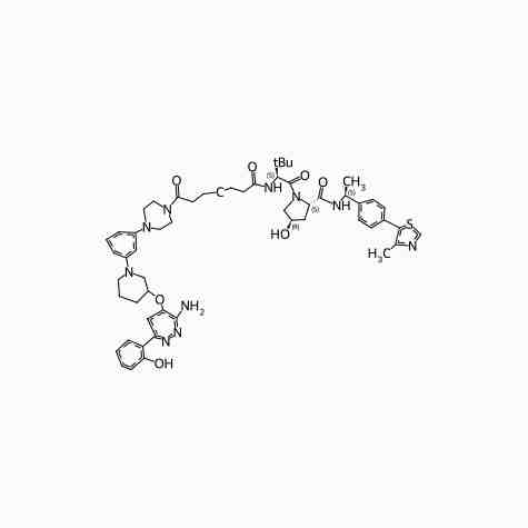 Cc1ncsc1-c1ccc([C@H](C)NC(=O)[C@@H]2C[C@@H](O)CN2C(=O)[C@@H](NC(=O)CCCCCC(=O)N2CCN(c3cccc(N4CCCC(Oc5cc(-c6ccccc6O)nnc5N)C4)c3)CC2)C(C)(C)C)cc1